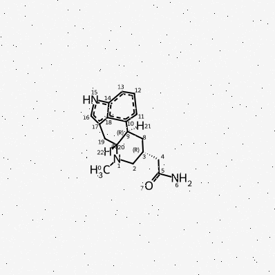 CN1C[C@@H](CC(N)=O)C[C@@H]2c3cccc4[nH]cc(c34)C[C@H]21